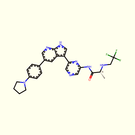 C[C@@H](NCC(F)(F)F)C(=O)Nc1cncc(-c2c[nH]c3ncc(-c4ccc(N5CCCC5)cc4)cc23)n1